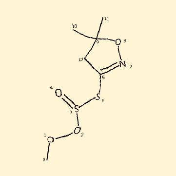 COOS(=O)SC1=NOC(C)(C)C1